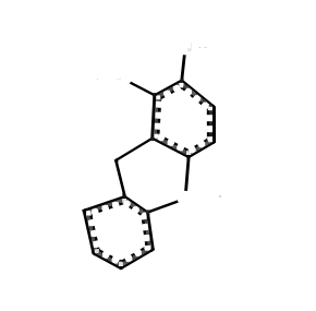 CCCCCc1ccc2c(c1C(=O)[O-])Cc1ccccc1O2.[K+]